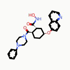 O=C(NO)[C@@H]1C[C@H](Oc2ccc3ncccc3c2)CC[C@H]1C(=O)N1CCN(c2ccccc2)CC1